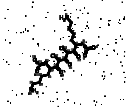 NCCCCC(N=S(=O)=O)C(=O)C(Cl)C(=O)C(Cl)C(=O)C(CCCCN)N=S(=O)=O